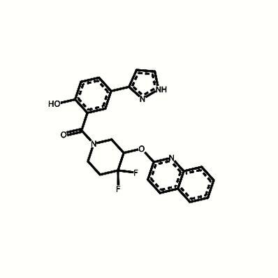 O=C(c1cc(-c2cc[nH]n2)ccc1O)N1CCC(F)(F)C(Oc2ccc3ccccc3n2)C1